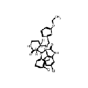 CCOc1cccc(CN2[C@H]3CCNC(=O)[C@H]3[C@H](c3cccc(Cl)c3F)[C@]23C(=O)Nc2cc(Cl)ccc23)c1